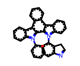 C1=Nc2cccc(-n3c4ccccc4c4c5ccccc5c5c6ccccc6n(-c6ccccc6)c5c43)c2C1